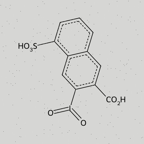 O=C(O)c1cc2cccc(S(=O)(=O)O)c2cc1I(=O)=O